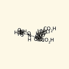 CC[C@H](C)[C@H](NC(=O)CCCCCNC(=O)CCCC[C@@H]1SC[C@@H]2NC(=O)N[C@@H]21)C(=O)N[C@@H](CCC(=O)O)C(=O)N1c2ncccc2C[C@H]1C(=O)NC(CC(=O)O)C(=O)CCl